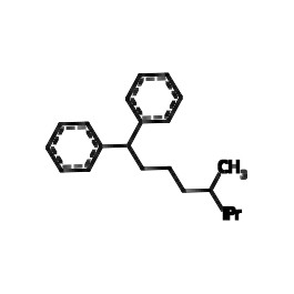 CC(C)C(C)CCCC(c1ccccc1)c1ccccc1